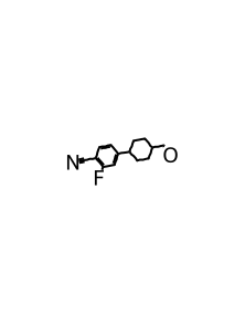 N#Cc1ccc(C2CCC(C=O)CC2)cc1F